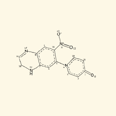 O=c1ccn(-c2cc3c(cc2[N+](=O)[O-])N=CCN3)cc1